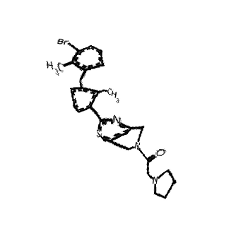 Cc1c(Br)cccc1-c1cccc(-c2nc3c(s2)CN(C(=O)CN2CCCC2)C3)c1C